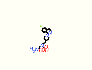 NC(=O)CN(CCC1CCN(c2nccc3cc(F)ccc23)CC1)C(=O)O